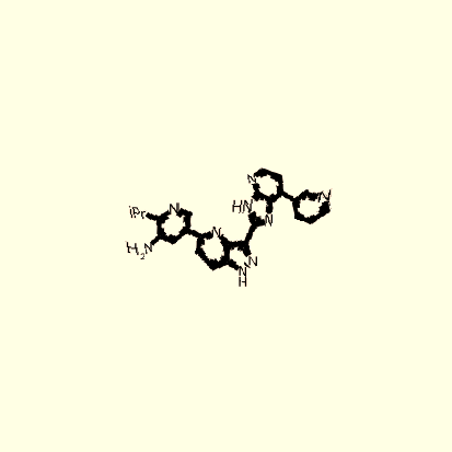 CC(C)c1ncc(-c2ccc3[nH]nc(-c4nc5c(-c6cccnc6)ccnc5[nH]4)c3n2)cc1N